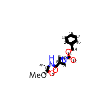 COC(=O)[C@H](C)NC(=O)C1CN(C(=O)OCc2ccccc2)C1